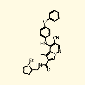 CCN1CCCC1CNC(=O)c1cn2ncc(C#N)c(Nc3ccc(Oc4ccccc4)cc3)c2c1C